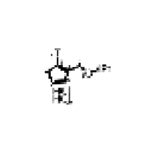 CC(C)OCC1=[C]([Ti])CC=C1.Cl.Cl